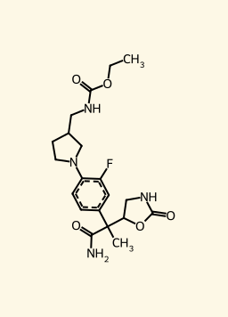 CCOC(=O)NCC1CCN(c2ccc(C(C)(C(N)=O)C3CNC(=O)O3)cc2F)C1